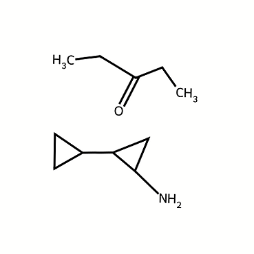 CCC(=O)CC.NC1CC1C1CC1